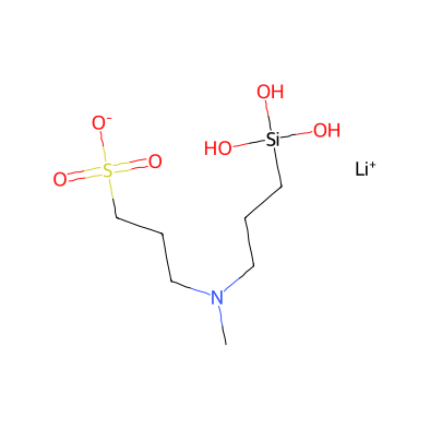 CN(CCC[Si](O)(O)O)CCCS(=O)(=O)[O-].[Li+]